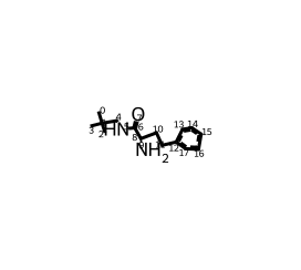 CC(C)(C)CNC(=O)[C@@H](N)CCc1ccccc1